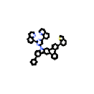 c1ccc(-c2ccc3c(c2)c2cc4c5ccccc5c5cc(-c6cccc7ccsc67)ccc5c4cc2n3-c2cc(-c3cccc4cccnc34)nc(-c3cccc4cccnc34)n2)cc1